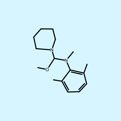 COC(N1CCCCC1)N(C)c1c(C)cccc1C